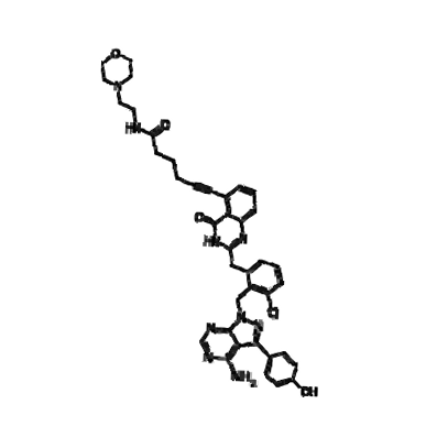 Nc1ncnc2c1c(-c1ccc(O)cc1)nn2Cc1c(Cl)cccc1Cc1nc2cccc(C#CCCCC(=O)NCCN3CCOCC3)c2c(=O)[nH]1